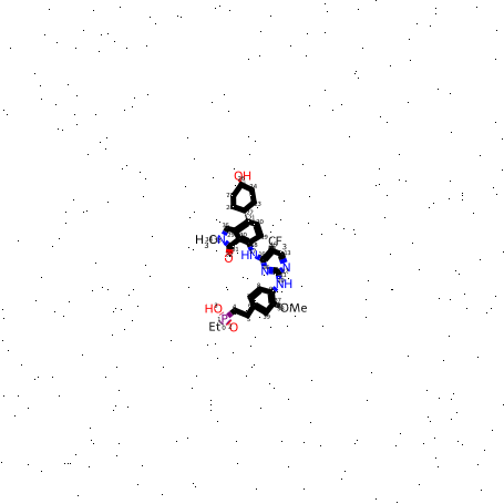 CCP(=O)(O)CCc1ccc(Nc2ncc(C(F)(F)F)c(Nc3ccc([C@H]4CC[C@H](O)CC4)c4c3C(=O)N(C)C4)n2)c(OC)c1